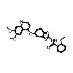 CCc1ccccc1C(=O)Nc1nc2ccc(Oc3ccnc4cc(OC)c(OC)cc34)cc2s1